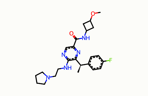 COC1CC(NC(=O)c2cnc(NCCN3CCCC3)c([C@H](C)c3ccc(F)cc3)n2)C1